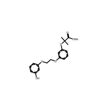 COC(=O)C(C)(C)Oc1cccc(OCCOc2cccc(O)c2)c1